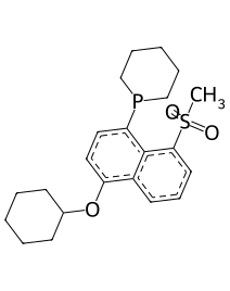 CS(=O)(=O)c1cccc2c(OC3CCCCC3)ccc(P3CCCCC3)c12